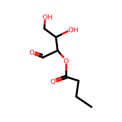 CCCC(=O)OC([C]=O)C(O)CO